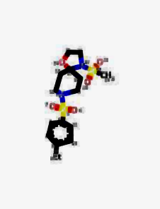 CCc1ccc(S(=O)(=O)N2CCC3(CC2)OCCN3S(C)(=O)=O)cc1